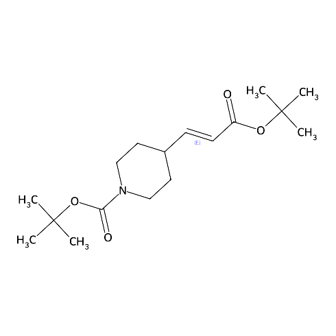 CC(C)(C)OC(=O)/C=C/C1CCN(C(=O)OC(C)(C)C)CC1